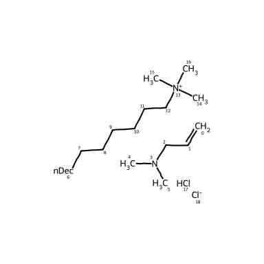 C=CCN(C)C.CCCCCCCCCCCCCCCC[N+](C)(C)C.Cl.[Cl-]